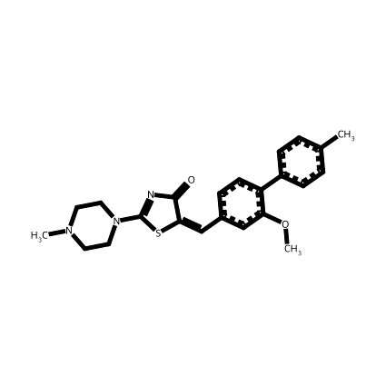 COc1cc(/C=C2/SC(N3CCN(C)CC3)=NC2=O)ccc1-c1ccc(C)cc1